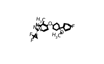 CO[C@]1(c2ccc(F)cc2)CC[C@H](Oc2ccn3c([C@@H]4CC4(F)F)nnc3c2C)CC1